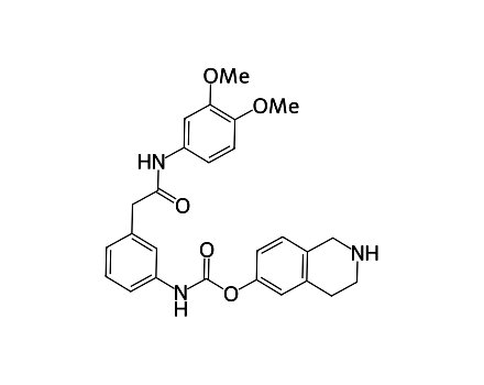 COc1ccc(NC(=O)Cc2cccc(NC(=O)Oc3ccc4c(c3)CCNC4)c2)cc1OC